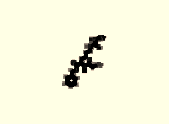 CC(C)CC(=O)NC(CCCCNC(=S)NC(C)C)C(=O)OCc1ccccc1